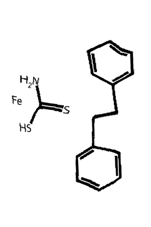 NC(=S)S.[Fe].c1ccc(CCc2ccccc2)cc1